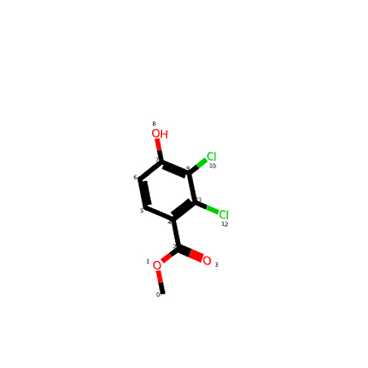 COC(=O)c1ccc(O)c(Cl)c1Cl